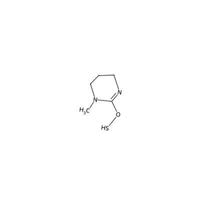 CN1CCCN=C1OS